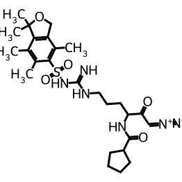 Cc1c(C)c(S(=O)(=O)NC(=N)NCCCC(NC(=O)C2CCCC2)C(=O)C=[N+]=[N-])c(C)c2c1C(C)(C)OC2